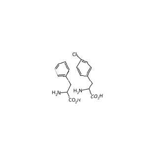 NC(Cc1ccc(Cl)cc1)C(=O)O.NC(Cc1ccccc1)C(=O)O